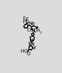 Cc1cccc(OC(F)(F)F)c1C1=NOC(C2CC2)C1CN(C)C1CC2(C1)CC1CCC(C2)N1c1nc2c(F)cc(C(=O)O)cc2s1